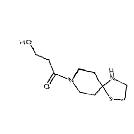 O=C(CCO)N1CCC2(CC1)NCCS2